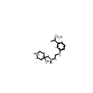 CC(C(=O)O)c1cccc(OCCN(C)CC2(O)CCNCC2)c1